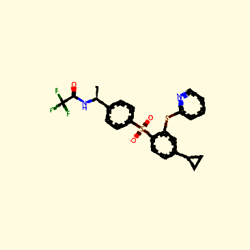 C[C@H](NC(=O)C(F)(F)F)c1ccc(S(=O)(=O)c2ccc(C3CC3)cc2Sc2ccccn2)cc1